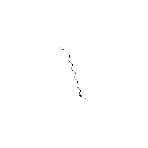 C=CCCCCCCCC[CH2][Mg][Br]